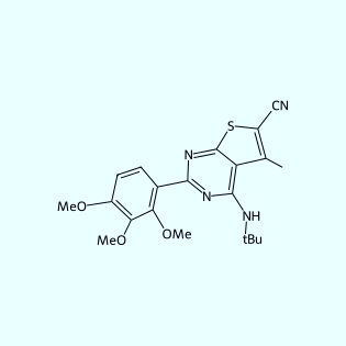 COc1ccc(-c2nc(NC(C)(C)C)c3c(C)c(C#N)sc3n2)c(OC)c1OC